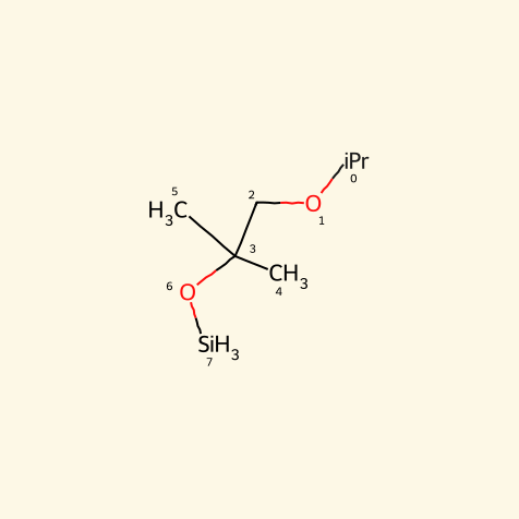 CC(C)OCC(C)(C)O[SiH3]